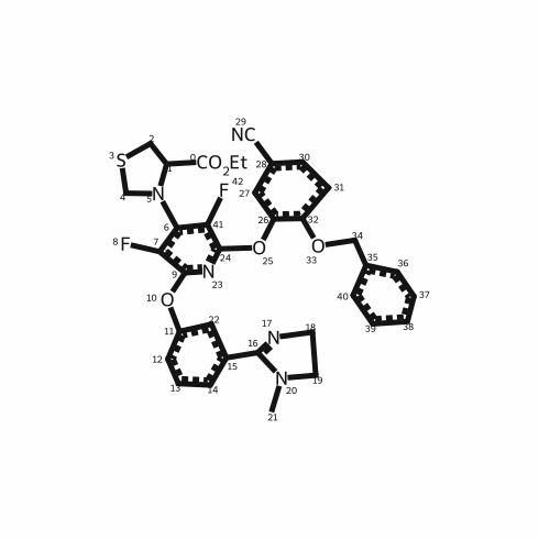 CCOC(=O)C1CSCN1c1c(F)c(Oc2cccc(C3=NCCN3C)c2)nc(Oc2cc(C#N)ccc2OCc2ccccc2)c1F